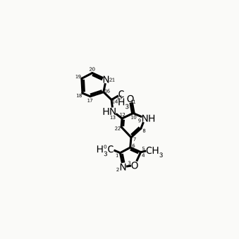 Cc1noc(C)c1-c1c[nH]c(=O)c(NC(C)c2ccccn2)c1